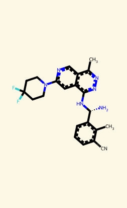 Cc1c(C#N)cccc1[C@@H](N)Nc1nnc(C)c2cnc(N3CCC(F)(F)CC3)cc12